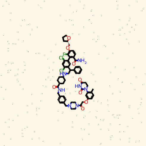 Cc1ccc(OCC(=O)N2CCN(Cc3ccc(CNC(=O)C4CCC(NCC(c5ccccc5)c5cc(-c6c(C(N)=O)ccc(OC[C@@H]7CCCO7)c6F)c(Cl)cc5Cl)CC4)cc3)CC2)cc1N1CCC(=O)NC1=O